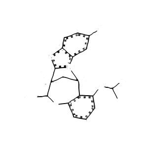 CCOC(=O)C1Sc2cccc(OC(F)F)c2[C@H]2C[C@@H]1c1nc3ccc(Cl)cc3n12